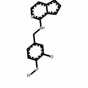 CCOc1ccc(CNc2sccc3cccc2-3)cc1Cl